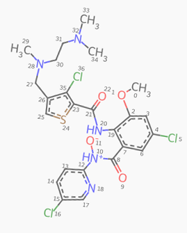 COc1cc(Cl)cc(C(=O)[NH+]([O-])c2ccc(Cl)cn2)c1NC(=O)c1scc(CN(C)CCN(C)C)c1Cl